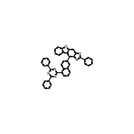 c1ccc(-c2nc(-c3ccccc3)nc(-c3cccc4cc(-c5c6nc(-c7ccccc7)oc6cc6oc7ccccc7c56)ccc34)n2)cc1